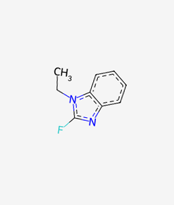 CCn1c(F)nc2ccccc21